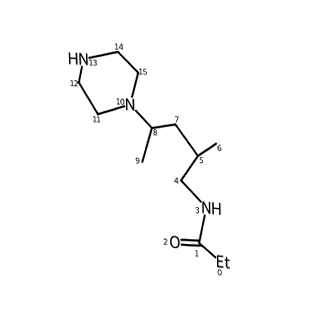 CCC(=O)NCC(C)CC(C)N1CCNCC1